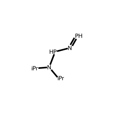 CC(C)N(PN=P)C(C)C